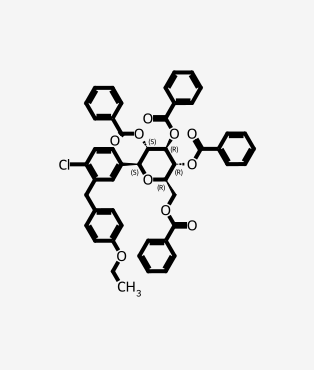 CCOc1ccc(Cc2cc([C@@H]3O[C@H](COC(=O)c4ccccc4)[C@@H](OC(=O)c4ccccc4)[C@H](OC(=O)c4ccccc4)[C@H]3OC(=O)c3ccccc3)ccc2Cl)cc1